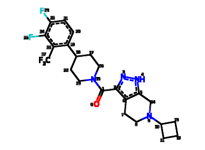 O=C(c1n[nH]c2c1CCN(C1CCC1)C2)N1CCC(c2ccc(F)c(F)c2C(F)(F)F)CC1